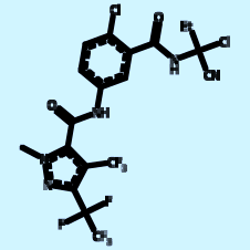 CCC(Cl)(C#N)NC(=O)c1cc(NC(=O)c2c(C(F)(F)F)c(C(F)(F)C(F)(F)F)nn2C)ccc1Cl